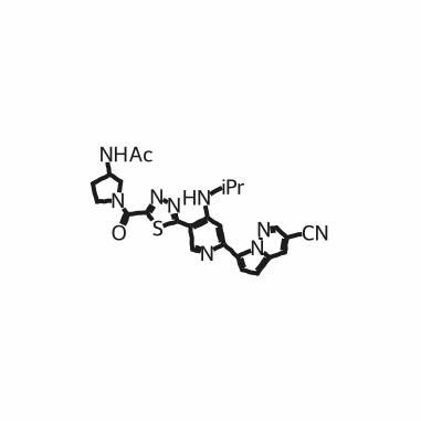 CC(=O)NC1CCN(C(=O)c2nnc(-c3cnc(-c4ccc5cc(C#N)cnn45)cc3NC(C)C)s2)C1